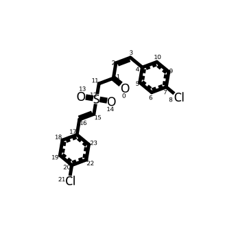 O=C(/C=C\c1ccc(Cl)cc1)CS(=O)(=O)/C=C/c1ccc(Cl)cc1